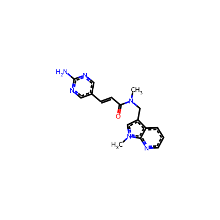 CN(Cc1cn(C)c2ncccc12)C(=O)/C=C/c1cnc(N)nc1